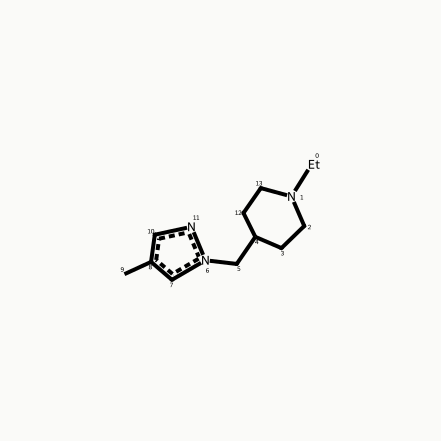 CCN1CCC(Cn2cc(C)cn2)CC1